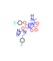 CN[C@@H](C)C(=O)N[C@H](C(=O)N1C[C@@H](Oc2ccc(F)cc2)C[C@H]1CN(CCc1ccc(F)cc1)C(=O)c1cn(C)cn1)[C@@H](C)OC